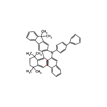 CC1(C)CCC(C)(C)c2c(-c3cc4c(cc3N(c3ccc(-c5ccccc5)cc3)c3ccc5ccccc5c3)C(C)(C)c3ccccc3-4)cccc21